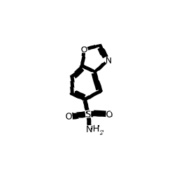 NS(=O)(=O)c1ccc2ocnc2c1